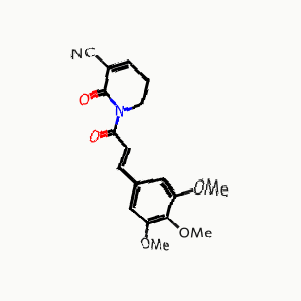 COc1cc(C=CC(=O)N2CCC=C(C#N)C2=O)cc(OC)c1OC